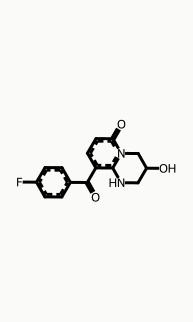 O=C(c1ccc(F)cc1)c1ccc(=O)n2c1NCC(O)C2